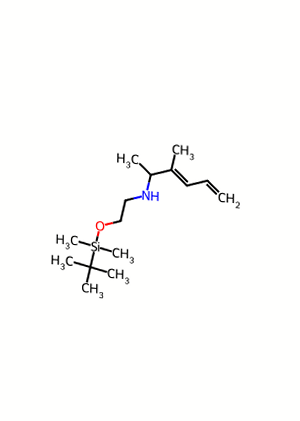 C=C/C=C(\C)C(C)NCCO[Si](C)(C)C(C)(C)C